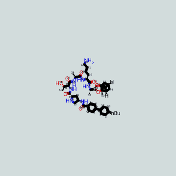 CCCCc1ccc(-c2ccc(C(=O)N[C@H]3CN[C@H](C(=O)N[C@H](C(=O)N[C@@H](C)C(=O)N[C@@H](CCCCN)C(=O)N[C@@H](C)B4OC5C[C@@H]6C[C@@H](C6(C)C)[C@]5(C)O4)[C@@H](C)O)C3)cc2)cc1